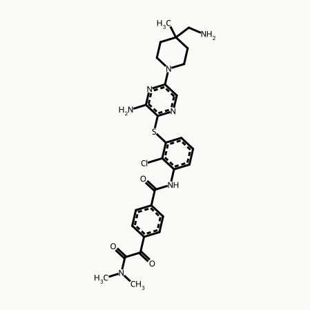 CN(C)C(=O)C(=O)c1ccc(C(=O)Nc2cccc(Sc3ncc(N4CCC(C)(CN)CC4)nc3N)c2Cl)cc1